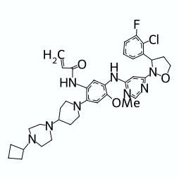 C=CC(=O)Nc1cc(Nc2cc(N3OCCC3c3cccc(F)c3Cl)ncn2)c(OC)cc1N1CCC(N2CCN(C3CCC3)CC2)CC1